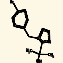 CC(C)(O)c1nccn1Cc1ccc(Br)cc1